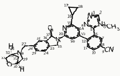 Cn1cnnc1-c1cc(C#N)ccc1-c1cc(C2CC2)nc(N2Cc3ccc(CN4C[C@@H]5C[C@H]4CO5)cc3C2=O)c1